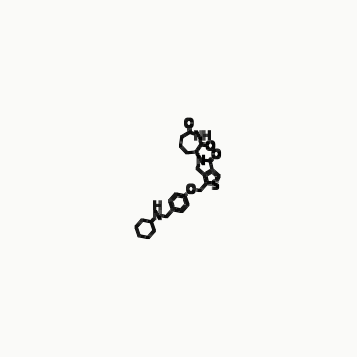 O=C1CCC[C@H](N2Cc3c(csc3COc3ccc(CNC4CCCCC4)cc3)C2=O)C(=O)N1